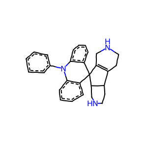 c1ccc(N2c3ccccc3C3(C4=C(CCNC4)C4CCNCC43)c3ccccc32)cc1